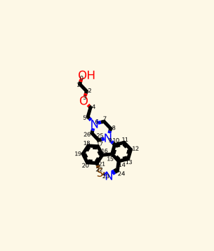 OCCOCCN1CCN(c2cccc3c2-c2ccccc2SN=C3)CC1